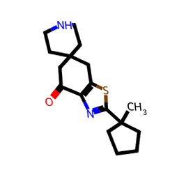 CC1(c2nc3c(s2)CC2(CCNCC2)CC3=O)CCCC1